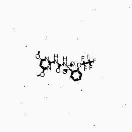 COc1cc(OC)nc(NC(=O)NS(=O)(=O)c2ccccc2OC(F)(F)C(F)(F)F)n1